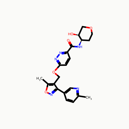 Cc1ccc(-c2noc(C)c2COc2ccc(C(=O)N[C@@H]3CCOC[C@@H]3O)nn2)cn1